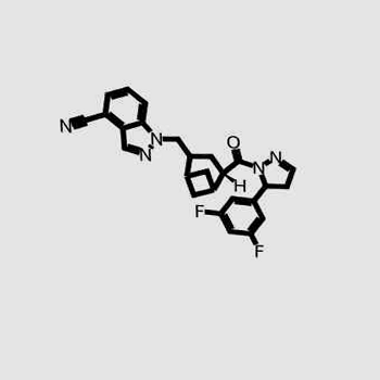 N#Cc1cccc2c1cnn2CC1C[C@H](C(=O)N2N=CCC2c2cc(F)cc(F)c2)C2CC1C2